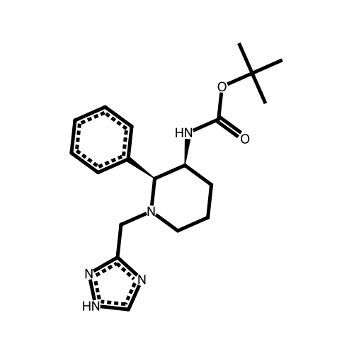 CC(C)(C)OC(=O)N[C@H]1CCCN(Cc2nc[nH]n2)[C@H]1c1ccccc1